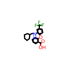 O=C(O)c1ccccc1Oc1ccc(C(F)(F)F)cc1NCC1CCCCC1